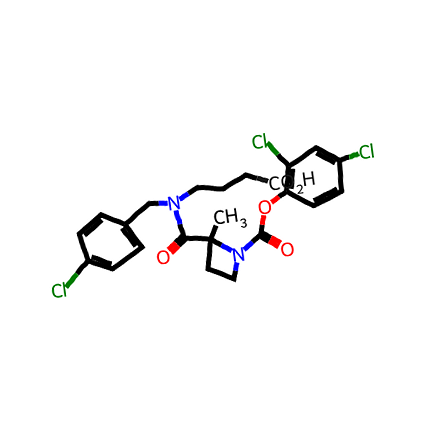 CC1(C(=O)N(CCCC(=O)O)Cc2ccc(Cl)cc2)CCN1C(=O)Oc1ccc(Cl)cc1Cl